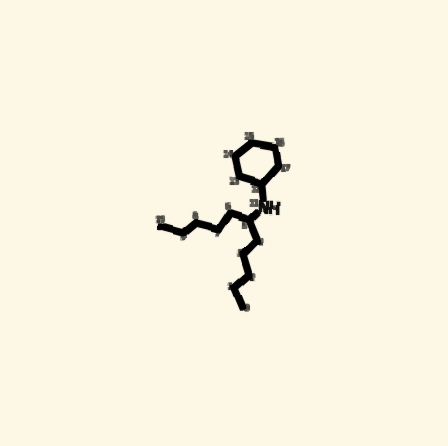 CCCCCC(CCCCC)NC1CCCCC1